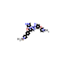 CSN1CCC(c2ccc(-c3cc4cnc(Nc5ccc(OC6CCCN(C)C6)cc5)nc4n(C4CCNCC4)c3=O)cc2)CC1